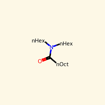 CCCCCCCCC(=O)N(CCCCCC)CCCCCC